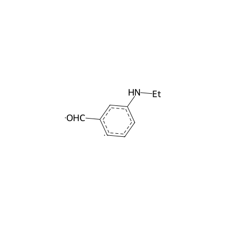 CCNc1cc[c]c([C]=O)c1